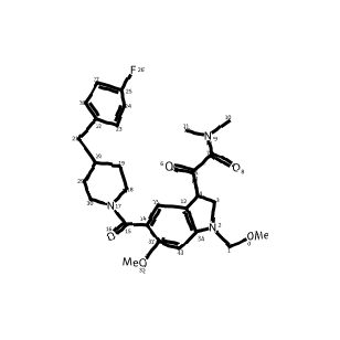 COCN1CC(C(=O)C(=O)N(C)C)c2cc(C(=O)N3CCC(Cc4ccc(F)cc4)CC3)c(OC)cc21